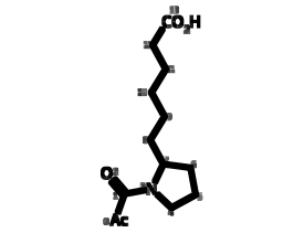 CC(=O)C(=O)N1CCCC1CCCCCC(=O)O